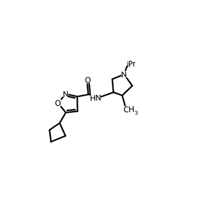 CC1CN(C(C)C)CC1NC(=O)c1cc(C2CCC2)on1